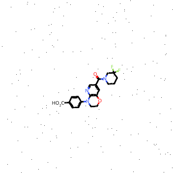 O=C(O)c1ccc(N2CCOc3cc(C(=O)N4CCCC(F)(F)C4)cnc32)cc1